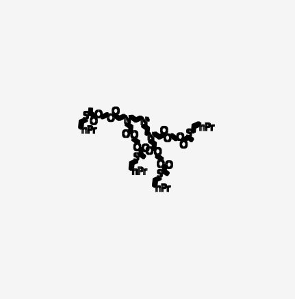 CCC/C=C\CSC(C)C(=O)OCCOC(=O)CCN(CCCN(C)CCCN(CCC(=O)OCCOC(=O)C(C)SC/C=C\CCC)CCC(=O)OCCOC(=O)C(C)SC/C=C\CCC)CCC(=O)OCCOC(=O)C(C)SC/C=C\CCC